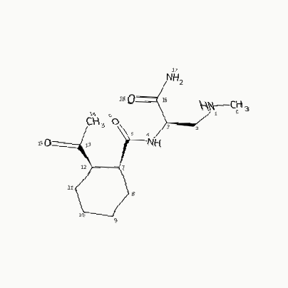 CNC[C@@H](NC(=O)[C@H]1CCCC[C@H]1C(C)=O)C(N)=O